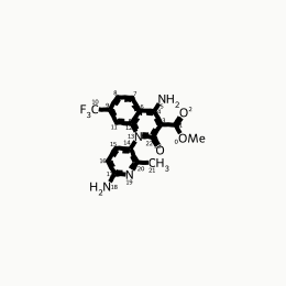 COC(=O)c1c(N)c2ccc(C(F)(F)F)cc2n(-c2ccc(N)nc2C)c1=O